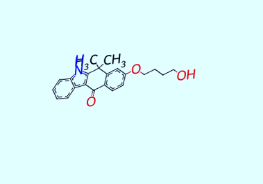 CC1(C)c2cc(OCCCCO)ccc2C(=O)c2c1[nH]c1ccccc21